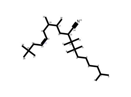 CC(C)CCCCC(C)(C)C(C)(C)C(C#N)CC(C)C(C)C/C=C\CC(C)(C)C